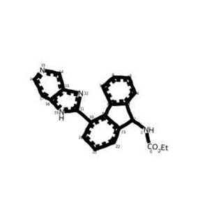 CCOC(=O)NC1c2ccccc2-c2c(-c3nc4cnccc4[nH]3)cccc21